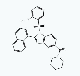 COc1ccccc1S(=O)(=O)n1c(-c2cccc3ccccc23)nc2cc(C(=O)N3CCCCC3)ccc21